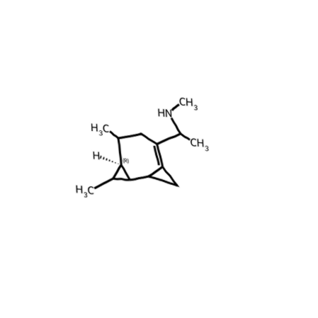 CNC(C)C1=C2CC2C2C(C)[C@H]2C(C)C1